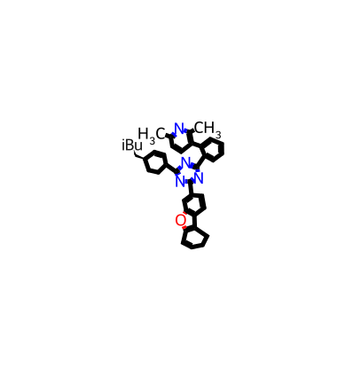 CC[C@@H](C)C[C@H]1C=CC(c2nc(-c3ccc4c5c(oc4c3)C=CCC5)nc(-c3ccccc3-c3ccc(C)nc3C)n2)CC1